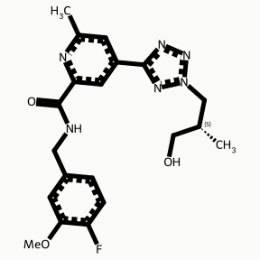 COc1cc(CNC(=O)c2cc(-c3nnn(C[C@H](C)CO)n3)cc(C)n2)ccc1F